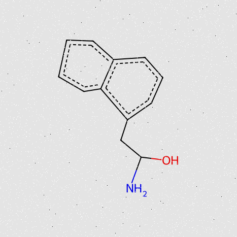 NC(O)Cc1cccc2ccccc12